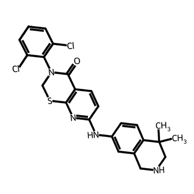 CC1(C)CNCc2cc(Nc3ccc4c(n3)SCN(c3c(Cl)cccc3Cl)C4=O)ccc21